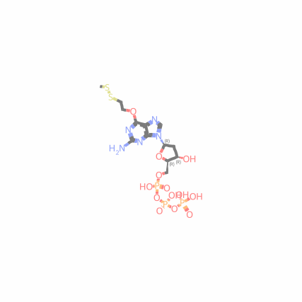 CSSCCOc1nc(N)nc2c1ncn2[C@H]1C[C@@H](O)[C@@H](COP(=O)(O)OP(=O)(O)OP(=O)(O)O)O1